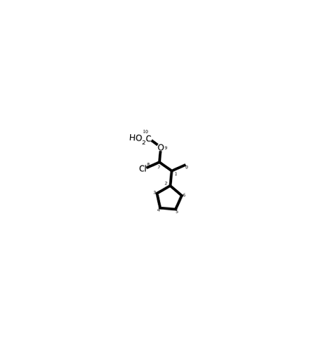 CC(C1CCCC1)C(Cl)OC(=O)O